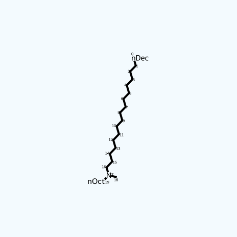 CCCCCCCCCCCCCCCCCCCCCCCCCCN(C)CCCCCCCC